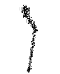 C[C@H](CCC(=O)N1CCN(C(=O)CCOCCOCCOCCOCCOCCOCCOCCOCCOCCN=[N+]=[N-])CC1)NC(=O)c1ccc(N(Cc2cnc3nc(N)[nH]c(=O)c3n2)C(=O)C(F)(F)F)cc1